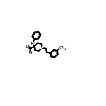 CCC(=O)C1(Nc2ccccc2)CCN(CCc2cccc(C)c2)CC1